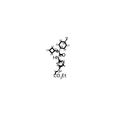 CCOC(=O)CSc1cnc(NC(=O)N(C2CCC2)[C@H]2CC[C@H](C)CC2)s1